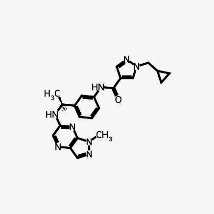 C[C@H](Nc1cnc2cnn(C)c2n1)c1cccc(NC(=O)c2cnn(CC3CC3)c2)c1